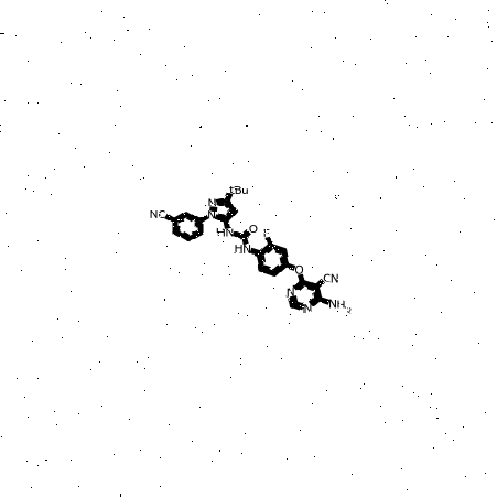 CC(C)(C)c1cc(NC(=O)Nc2ccc(Oc3ncnc(N)c3C#N)cc2F)n(-c2cccc(C#N)c2)n1